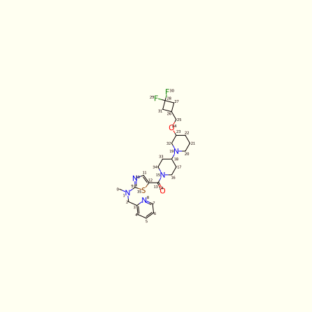 CN(Cc1ccccn1)c1ncc(C(=O)N2CCC(N3CCCC(OCC4CC(F)(F)C4)C3)CC2)s1